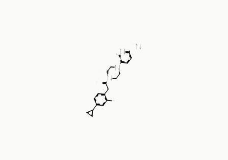 C[C@@H]1CN(c2ccc(C#N)nn2)CCN1C(=O)Cc1ccc(C2CC2)cc1F